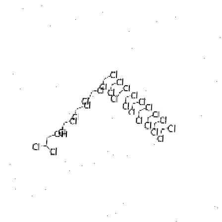 ClCCl.ClCCl.ClCCl.ClCCl.ClCCl.ClCCl.ClCCl.ClCCl.ClCCl.ClCCl.ClCCl.ClCCl.OCC(Cl)Cl